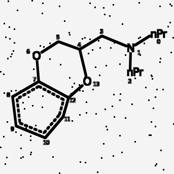 CCCN(CCC)CC1COc2ccccc2O1